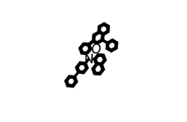 c1ccc(-c2ccc(N(c3cccc4ccccc34)c3cccc4c3oc3c(-c5ccccc5)c5ccccc5cc34)cc2)cc1